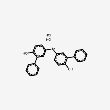 Cl.Cl.Oc1ccc([Te]c2ccc(O)c(-c3ccccc3)c2)cc1-c1ccccc1